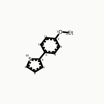 CCOc1ccc(-c2cc[c]s2)cc1